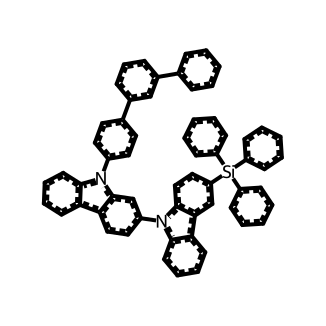 c1ccc(-c2cccc(-c3ccc(-n4c5ccccc5c5ccc(-n6c7ccccc7c7cc([Si](c8ccccc8)(c8ccccc8)c8ccccc8)ccc76)cc54)cc3)c2)cc1